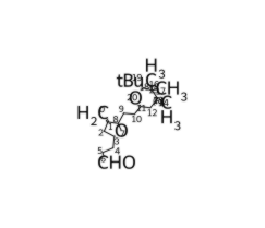 C=C1CC(CCC=O)OC1CCC1C[C@@H](C)C(C)(C)C(C(C)(C)C)O1